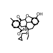 CCN(CC1CC1)[C@@H]1Cc2ccc(O)c3c2C2C(O3)C(=O)CCC21NC(=O)c1ccc(C)cc1